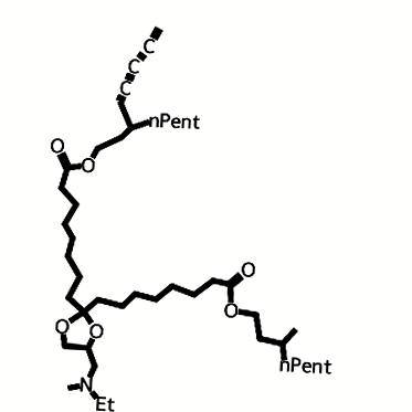 C=C=C=C=CC(CCCCC)CCOC(=O)CCCCCCCC1(CCCCCCCC(=O)OCCC(C)CCCCC)OCC(CN(C)CC)O1